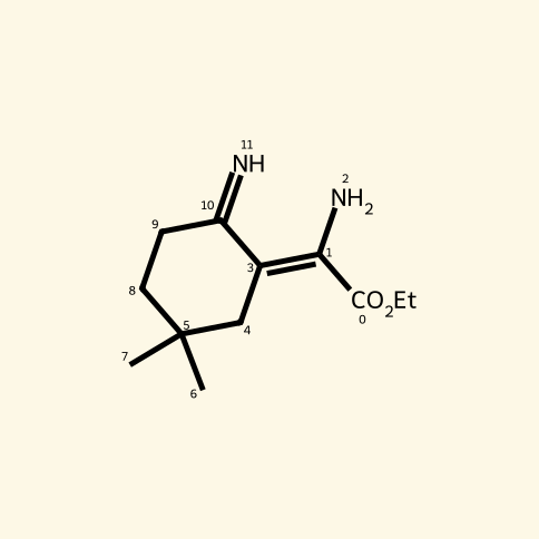 CCOC(=O)/C(N)=C1\CC(C)(C)CCC1=N